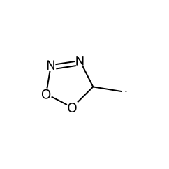 [CH2]C1N=NOO1